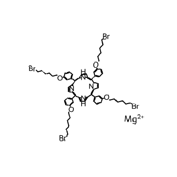 BrCCCCCCOc1cccc(-c2c3nc(c(-c4cccc(OCCCCCCBr)c4)c4ccc([nH]4)c(-c4cccc(OCCCCCCBr)c4)c4nc(c(-c5cccc(OCCCCCCBr)c5)c5ccc2[nH]5)C=C4)C=C3)c1.[Mg+2]